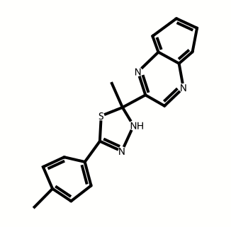 Cc1ccc(C2=NNC(C)(c3cnc4ccccc4n3)S2)cc1